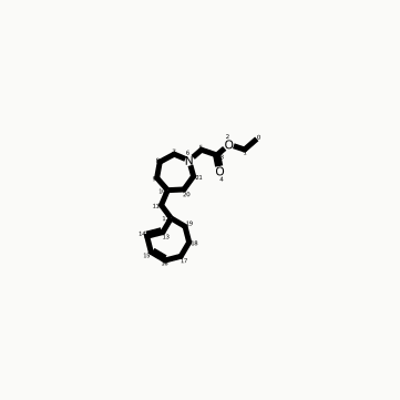 CCOC(=O)CN1CCCC(CC2/C=C/C=C\CCC2)CC1